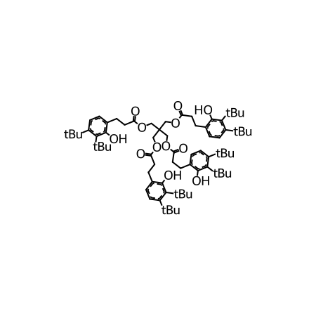 CC(C)(C)c1ccc(CCC(=O)OCC(COC(=O)CCc2ccc(C(C)(C)C)c(C(C)(C)C)c2O)(COC(=O)CCc2ccc(C(C)(C)C)c(C(C)(C)C)c2O)COC(=O)CCc2ccc(C(C)(C)C)c(C(C)(C)C)c2O)c(O)c1C(C)(C)C